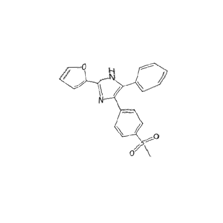 CS(=O)(=O)c1ccc(-c2nc(-c3ccco3)[nH]c2-c2ccccc2)cc1